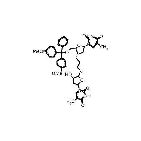 COc1ccc(C(OC[C@H]2O[C@@H](n3cc(C)c(=O)[nH]c3=O)C[C@@H]2CCCSC2OC(n3cc(C)c(=O)[nH]c3=O)CC2O)(c2ccccc2)c2ccc(OC)cc2)cc1